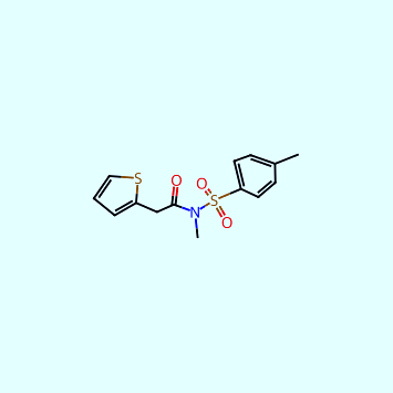 Cc1ccc(S(=O)(=O)N(C)C(=O)Cc2cccs2)cc1